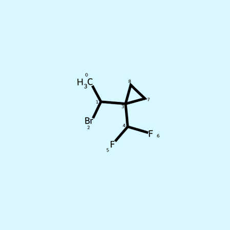 CC(Br)C1(C(F)F)CC1